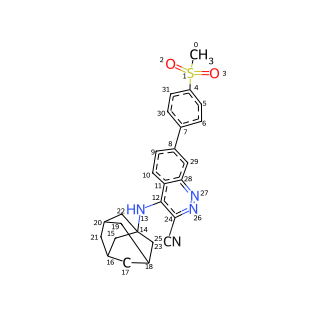 CS(=O)(=O)c1ccc(-c2ccc3c(NC45CC6CC(CC(C6)C4)C5)c(C#N)nnc3c2)cc1